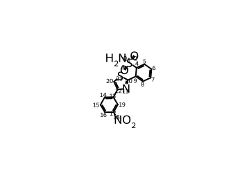 NS(=O)(=O)c1ccccc1-c1nc(-c2cccc([N+](=O)[O-])c2)cs1